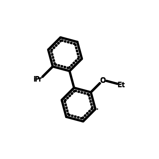 CCOc1[c]cccc1-c1ccccc1C(C)C